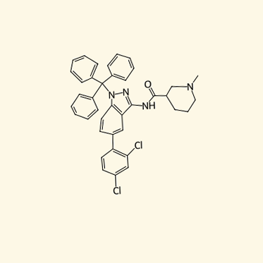 CN1CCCC(C(=O)Nc2nn(C(c3ccccc3)(c3ccccc3)c3ccccc3)c3ccc(-c4ccc(Cl)cc4Cl)cc23)C1